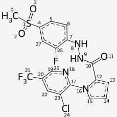 CS(=O)(=O)c1ccc(NNC(=O)c2cccn2-c2ncc(C(F)(F)F)cc2Cl)c(F)c1